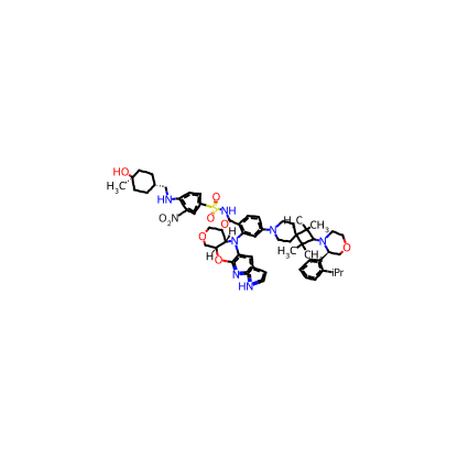 CC(C)c1ccccc1[C@@H]1COCCN1C1C(C)(C)C2(CCN(c3ccc(C(=O)NS(=O)(=O)c4ccc(NC[C@H]5CC[C@](C)(O)CC5)c([N+](=O)[O-])c4)c(N4c5cc6cc[nH]c6nc5O[C@H]5COCC[C@@H]54)c3)CC2)C1(C)C